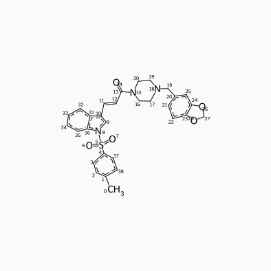 Cc1ccc(S(=O)(=O)n2cc(C=CC(=O)N3CCN(Cc4ccc5c(c4)OCO5)CC3)c3ccccc32)cc1